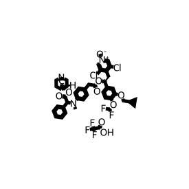 CN(c1ccc(CC(=O)O[C@@H](Cc2c(Cl)c[n+]([O-])cc2Cl)c2ccc(OC(F)F)c(OCC3CC3)c2)cc1)C(C(=O)O[C@H]1CN2CCC1CC2)c1ccccc1.O=C(O)C(F)(F)F